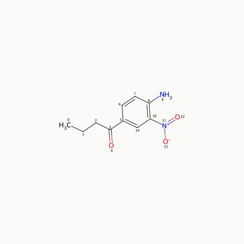 CCCC(=O)c1ccc(N)c([N+](=O)[O-])c1